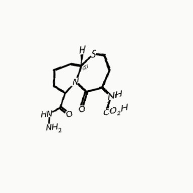 NNC(=O)C1CCC[C@@H]2SCCC(NC(=O)O)C(=O)N12